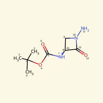 CC(C)(C)OC(=O)N[C@H]1CN(N)C1=O